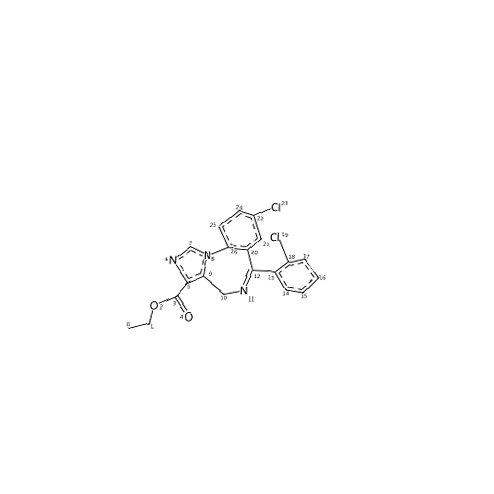 CCOC(=O)c1ncn2c1CN=C(c1ccccc1Cl)c1cc(Cl)ccc1-2